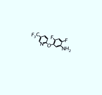 Nc1cc(Oc2ccc(C(F)(F)F)cn2)c(F)cc1F